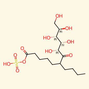 CCCCC(CCCCC(=O)OS(=O)(=O)O)C(=O)[C@H](O)[C@@H](O)[C@H](O)[C@H](O)CO